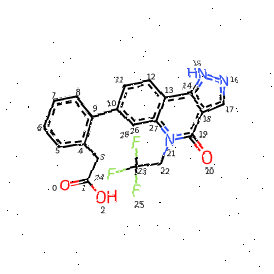 O=C(O)Cc1ccccc1-c1ccc2c3[nH]ncc3c(=O)n(CC(F)(F)F)c2c1